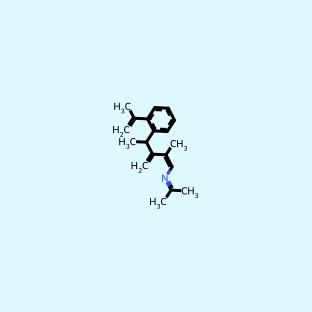 C=C(C)c1ccccc1C(C)C(=C)/C(C)=C\N=C(C)C